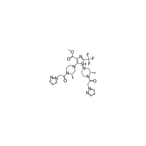 COC(=O)C1=C(N2CCN(C(=O)Cn3cccn3)[C@H](C)C2)[SH](N2CCN(C(=O)Cn3cccn3)[C@H](C)C2)C(C(F)(F)F)=N1